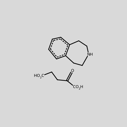 O=C(O)CCC(=O)C(=O)O.c1ccc2c(c1)CCNCC2